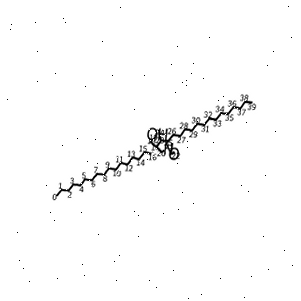 CCCCCCCCCCCCCCCCC[C@@](CO)(CN=O)C(C)CCCCCCCCCCCCCCC